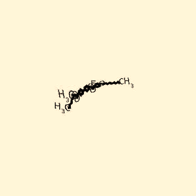 CCCCCCCCCCOc1ccc(C(=O)Oc2ccc(-c3ccc(C(=O)O[C@H](C)CCCCCC)cc3)cc2)c(F)c1